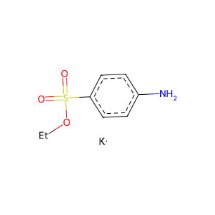 CCOS(=O)(=O)c1ccc(N)cc1.[K]